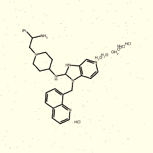 CC(C)C(N)CN1CCC(NC2Nc3cnccc3N2Cc2cccc3cccnc23)CC1.Cl.Cl.Cl.O.O.O.O